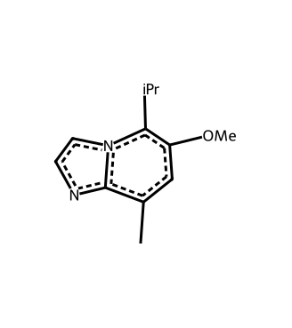 COc1cc(C)c2nccn2c1C(C)C